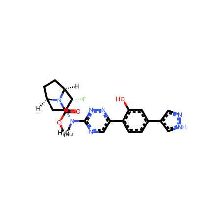 CN(c1ncc(-c2ccc(-c3cn[nH]c3)cc2O)nn1)[C@@H]1C[C@H]2CC[C@@H]([C@@H]1F)N2C(=O)OC(C)(C)C